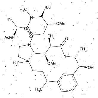 CC[C@H](C)C([C@@H](CC(=O)N1CCC[C@H]1[C@H](OC)[C@@H](C)C(=O)N[C@H](C)[C@@H](O)c1cccc(C(C)CCCP)c1)OC)N(C)C(=O)[C@@H](NC(C)=O)C(C)C